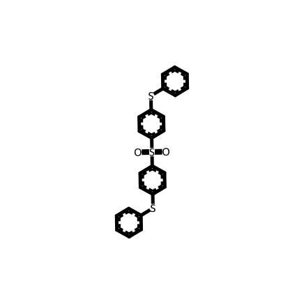 O=S(=O)(c1ccc(Sc2ccccc2)cc1)c1ccc(Sc2ccccc2)cc1